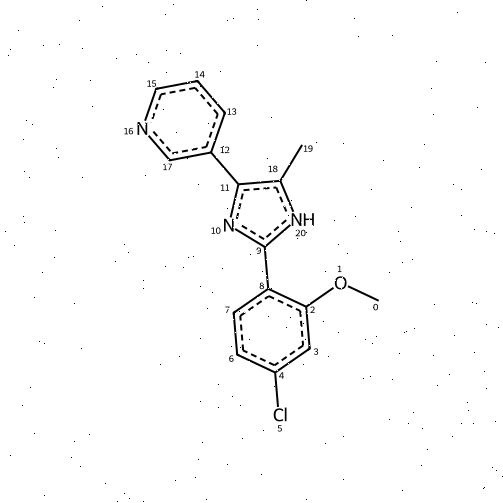 COc1cc(Cl)ccc1-c1nc(-c2cccnc2)c(C)[nH]1